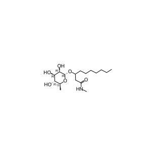 CCCCCCCC(CC(=O)NC)O[C@@H]1O[C@@H](C)[C@H](O)[C@@H](O)[C@H]1O